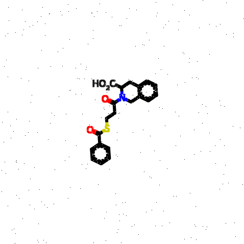 O=C(SCCC(=O)N1Cc2ccccc2CC1C(=O)O)c1ccccc1